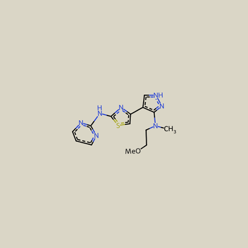 COCCN(C)c1n[nH]cc1-c1csc(Nc2ncccn2)n1